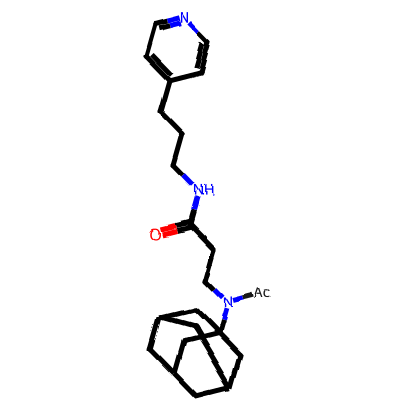 CC(=O)N(CCC(=O)NCCCc1ccncc1)C12CC3CC(CC(C3)C1)C2